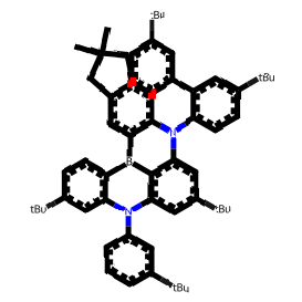 CC1(C)Cc2cc3c(cc2C1)N(c1ccc(C(C)(C)C)cc1-c1cccc(C(C)(C)C)c1)c1cc(C(C)(C)C)cc2c1B3c1ccc(C(C)(C)C)cc1N2c1cccc(C(C)(C)C)c1